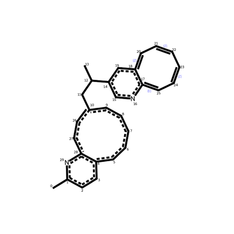 Cc1ccc2cccccc(CC(C)c3cnc4/c(c3)=C\C=C/C=C\C=4)ccc2n1